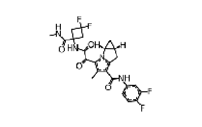 CNC(=O)C1(NC(=O)C(=O)c2c(C)c(C(=O)Nc3ccc(F)c(F)c3)c3n2[C@@H]2C[C@@H]2C3)CC(F)(F)C1